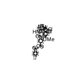 COc1cc(C(=O)OCC(=O)N2CCN(C)CC2)ccc1NC(=O)[C@@H]1N[C@@H](CC(C)(C)C)[C@](C#N)(c2ccc(Cl)cc2F)[C@H]1c1cccc(Cl)c1F